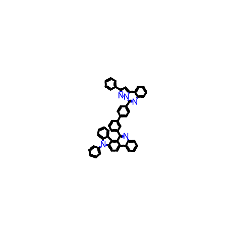 c1ccc(-c2cc3c4ccccc4nc(-c4ccc(-c5cccc(-c6nc7ccccc7c7ccc8c(c9ccccc9n8-c8ccccc8)c67)c5)cc4)n3n2)cc1